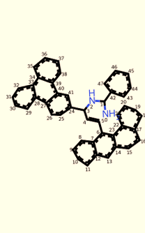 NC(NC(/C=C/c1c2ccccc2cc2ccc3ccccc3c12)c1ccc2c3ccccc3c3ccccc3c2c1)c1ccccc1